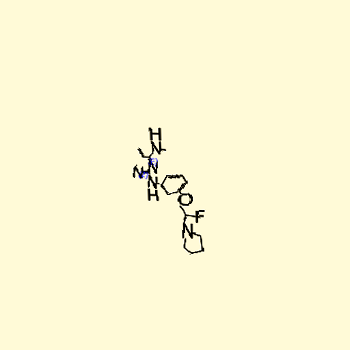 C=C/C(=N\C(=N/C)Nc1cccc(OCC(F)CN2CCCC2)c1)NC